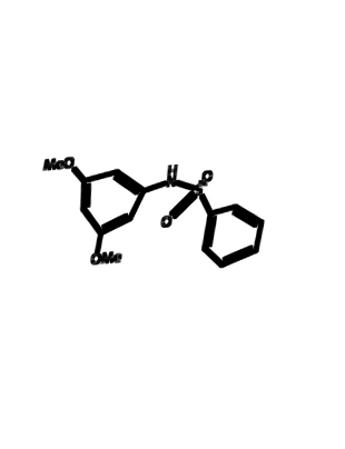 COc1cc(NS(=O)(=O)c2ccccc2)cc(OC)c1